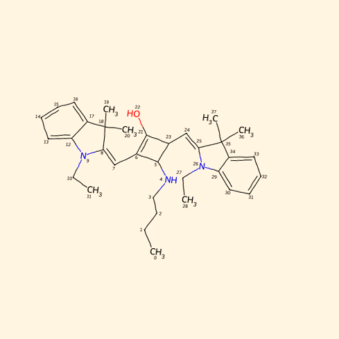 CCCCNC1C(C=C2N(CC)c3ccccc3C2(C)C)=C(O)C1C=C1N(CC)c2ccccc2C1(C)C